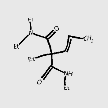 CC=CC(CC)(C(=O)NCC)C(=O)N(CC)CC